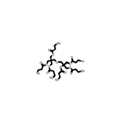 O=C(CCS)OCC(COCC(COC(=O)CCS)(COC(=O)CCS)OC(=O)CCS)(COC(=O)CCS)COC(=O)CCS